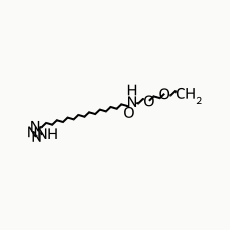 C=CCOCCOCCNC(=O)CCCCCCCCCCCCCCCc1nnn[nH]1